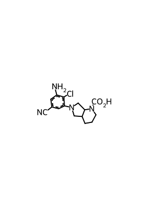 N#Cc1cc(N)c(Cl)c(N2CC3CCCN(C(=O)O)C3C2)c1